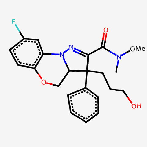 CON(C)C(=O)C1=NN2c3cc(F)ccc3OCC2C1(CCCO)c1ccccc1